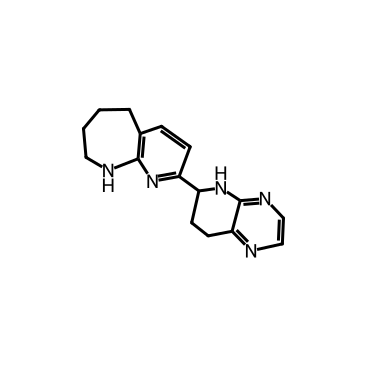 c1cnc2c(n1)CCC(c1ccc3c(n1)NCCCC3)N2